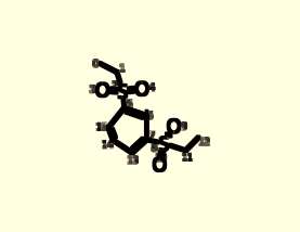 CCS(=O)(=O)c1[c]c(S(=O)(=O)CC)ccc1